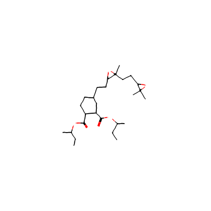 CCC(C)OC(=O)C1CCC(CCC2OC2(C)CCC2OC2(C)C)CC1C(=O)OC(C)CC